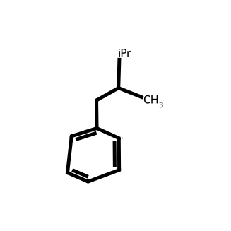 CC(C)C(C)Cc1[c]cccc1